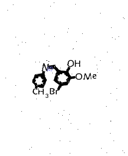 COc1cc(Br)cc(/C=N\c2ccc(C)cc2)c1O